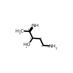 CC(=N)C(O)CCN